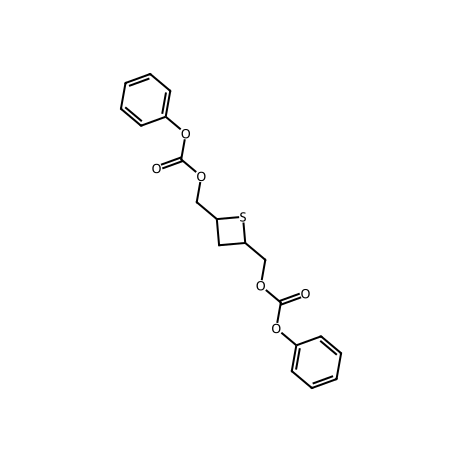 O=C(OCC1CC(COC(=O)Oc2ccccc2)S1)Oc1ccccc1